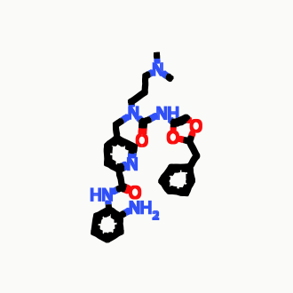 CN(C)CCCN(Cc1ccc(C(=O)Nc2ccccc2N)nc1)C(=O)NC1=COC(Cc2ccccc2)O1